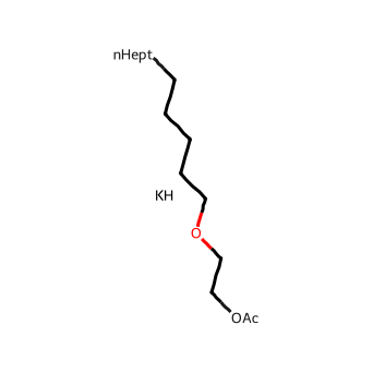 CCCCCCCCCCCCOCCOC(C)=O.[KH]